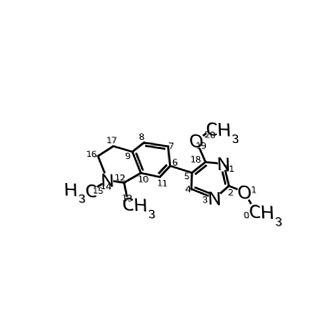 COc1ncc(-c2ccc3c(c2)C(C)N(C)CC3)c(OC)n1